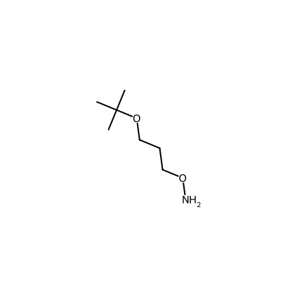 CC(C)(C)OCCCON